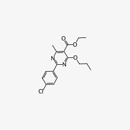 CCCOc1nc(-c2ccc(Cl)cc2)nc(C)c1C(=O)OCC